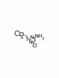 Nc1cc(Cl)nc(SCc2cc3ccccc3s2)n1